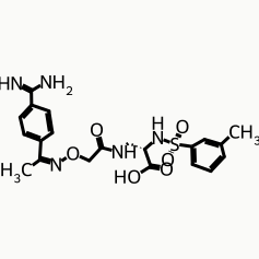 CC(=NOCC(=O)NC[C@H](NS(=O)(=O)c1cccc(C)c1)C(=O)O)c1ccc(C(=N)N)cc1